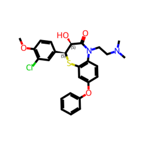 COc1ccc([C@@H]2Sc3cc(Oc4ccccc4)ccc3N(CCN(C)C)C(=O)[C@@H]2O)cc1Cl